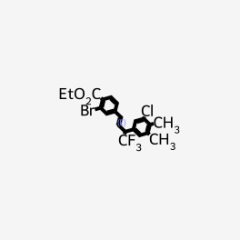 CCOC(=O)c1ccc(/C=C/C(c2cc(C)c(C)c(Cl)c2)C(F)(F)F)cc1Br